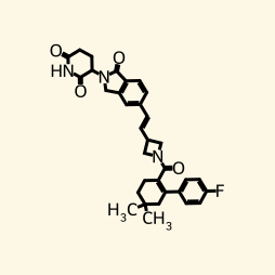 CC1(C)CCC(C(=O)N2CC(C=Cc3ccc4c(c3)CN(C3CCC(=O)NC3=O)C4=O)C2)=C(c2ccc(F)cc2)C1